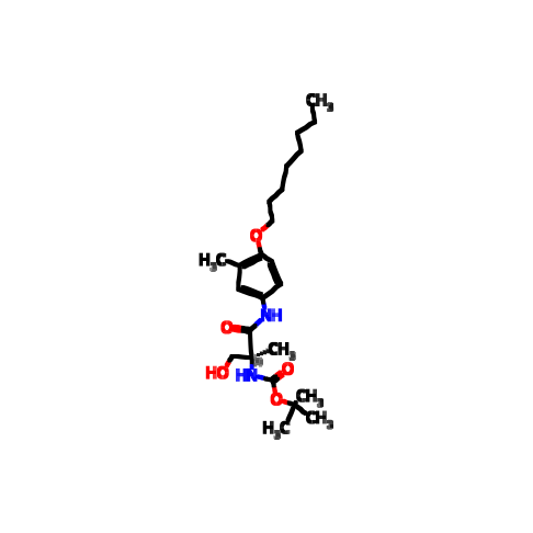 CCCCCCCCOc1ccc(NC(=O)[C@](C)(CO)NC(=O)OC(C)(C)C)cc1C